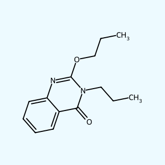 CCCOc1nc2ccccc2c(=O)n1CCC